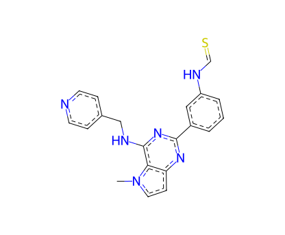 Cn1ccc2nc(-c3cccc(NC=S)c3)nc(NCc3ccncc3)c21